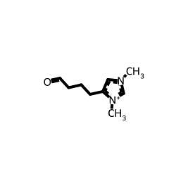 Cn1cc(CCCC=O)[n+](C)c1